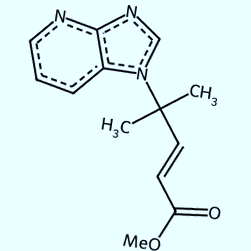 COC(=O)C=CC(C)(C)n1cnc2ncccc21